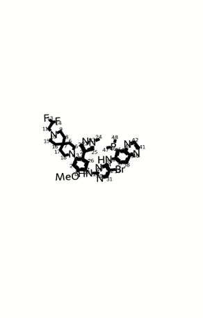 COc1cc(N2CCC3(CCN(CC(F)F)CC3)CC2)c(-c2cnn(C)c2)cc1Nc1ncc(Br)c(Nc2ccc3nccnc3c2P(C)C)n1